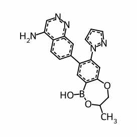 CC1COc2cc(-n3cccn3)c(-c3ccc4c(N)cnnc4c3)cc2B(O)O1